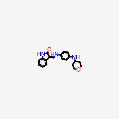 O=C1Nc2ccccc2C1=CNc1ccc(NC2CCOCC2)cc1